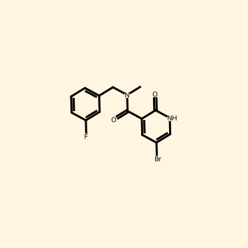 CN(Cc1cccc(F)c1)C(=O)c1cc(Br)c[nH]c1=O